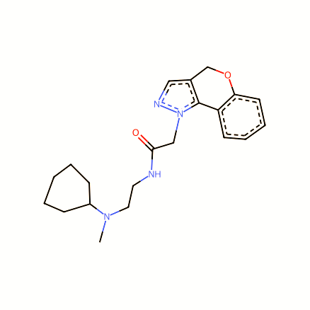 CN(CCNC(=O)Cn1ncc2c1-c1ccccc1OC2)C1CCCCC1